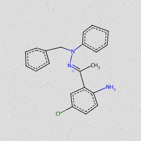 C/C(=N\N(Cc1ccccc1)c1ccccc1)c1cc(Cl)ccc1N